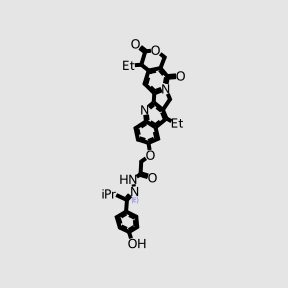 CCc1c2c(nc3ccc(OCC(=O)N/N=C(/c4ccc(O)cc4)C(C)C)cc13)-c1cc3c(c(=O)n1C2)COC(=O)C3CC